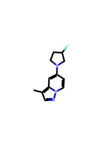 Cc1cnn2ccc(N3CCC(F)C3)cc12